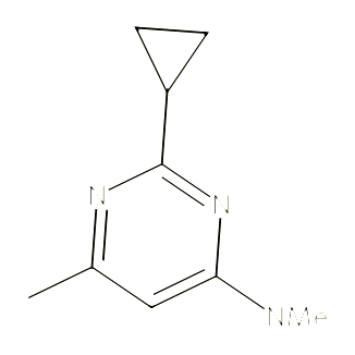 CNc1cc(C)nc(C2CC2)n1